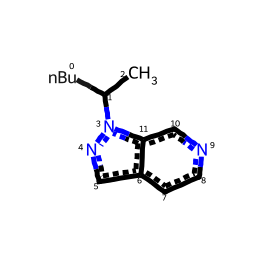 CCCCC(C)n1ncc2ccncc21